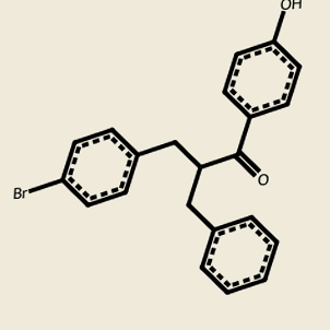 O=C(c1ccc(O)cc1)C(Cc1ccccc1)Cc1ccc(Br)cc1